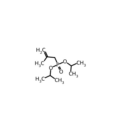 C=C(C)CP(=O)(OC(C)C)OC(C)C